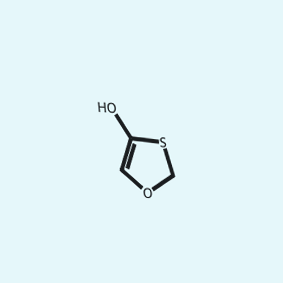 OC1=COCS1